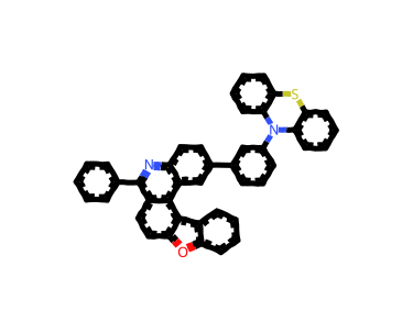 c1ccc(-c2nc3ccc(-c4cccc(N5c6ccccc6Sc6ccccc65)c4)cc3c3c2ccc2oc4ccccc4c23)cc1